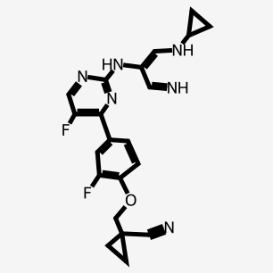 N#CC1(COc2ccc(-c3nc(N/C(C=N)=C/NC4CC4)ncc3F)cc2F)CC1